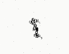 Cn1cccc1C(=O)N1CCC(Oc2ccnc3c2cnn3-c2ccc(S(C)(=O)=O)cc2)CC1